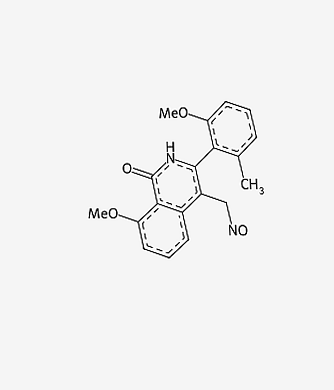 COc1cccc(C)c1-c1[nH]c(=O)c2c(OC)cccc2c1CN=O